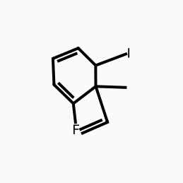 C=CC1(C)C(F)=CC=CC1I